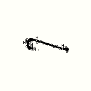 N=C(N)Nc1cccc(C(=O)NCC(=O)N[C@@H](CC(=O)O)C(=O)Nc2ccc(OCCCNC(=O)CCOCCOCCOCCOCCOCCOCCOCCOCCNCC(=O)CN3C(=O)C=CC3=O)cc2)c1